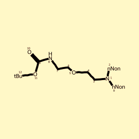 CCCCCCCCCN(CCCCCCCCC)CCOCCNC(=O)OC(C)(C)C